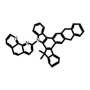 CC1(C)c2ccccc2-c2c1c1c(c3cc4c(cc23)Cc2ccccc2C4)c2ccccc2n1-c1ccc2ccc3cccnc3c2n1